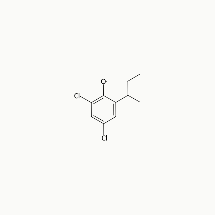 CCC(C)c1cc(Cl)cc(Cl)c1[O]